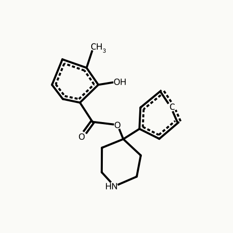 Cc1cccc(C(=O)OC2(c3ccccc3)CCNCC2)c1O